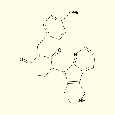 COc1ccc(CN2C(=O)CCC(n3c4c(c5cccnc53)CNCC4)C2=O)cc1